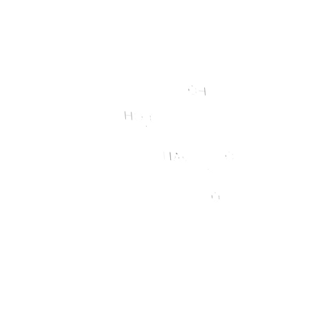 O=C(OCc1ccccc1)[AsH]C(CO)C(=O)O